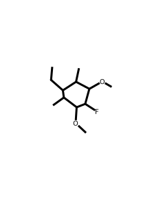 CCC1C(C)C(OC)C(F)C(OC)C1C